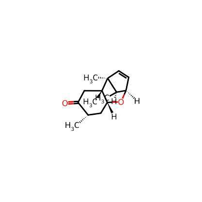 C[C@@H]1[C@H]2C=C[C@]1(C)[C@@]1(C)CC(=O)[C@@H](C)C[C@H]1O2